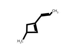 CC=CC1=CC(C)C1